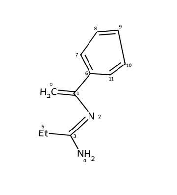 C=C(/N=C(/N)CC)c1ccccc1